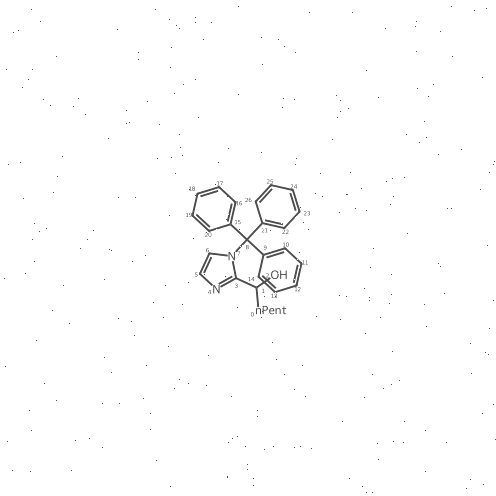 CCCCCC(O)c1nccn1C(c1ccccc1)(c1ccccc1)c1ccccc1